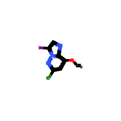 COc1cc(Cl)nn2c(I)cnc12